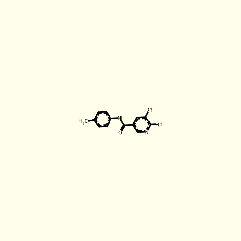 Cc1ccc(NC(=O)c2cnc(Cl)c(Cl)c2)cc1